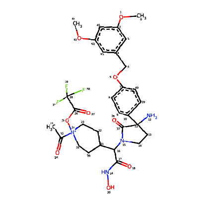 COc1cc(COc2ccc(C3(N)CCN(C(C(=O)NO)C4CC[N+](OC(=O)C(F)(F)F)(C(C)=O)CC4)C3=O)cc2)cc(OC)c1